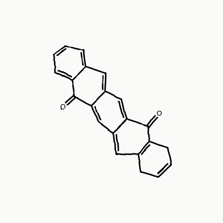 O=C1C2=C(C=c3cc4c(cc31)=Cc1ccccc1C4=O)CC=CC2